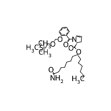 CCCCCCC(CCCCCCC(N)=O)OC(=O)[C@@H]1CC=CN1C(=O)c1ccccc1OCOCC[Si](C)(C)C